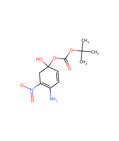 CC(C)(C)OC(=O)OC1(O)C=CC(N)=C([N+](=O)[O-])C1